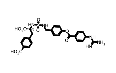 N=C(N)NC1C=CC(C(=O)Oc2ccc(CNS(=O)(=O)N[C@@H](Cc3ccc(C(=O)O)cc3)C(=O)O)cc2)=CC1